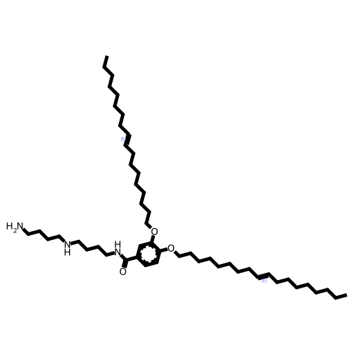 CCCCCCCC/C=C/CCCCCCCCOc1ccc(C(=O)NCCCCNCCCCN)cc1OCCCCCCCC/C=C/CCCCCCCC